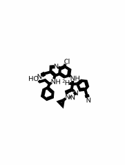 [2H]C(Nc1cc(Cl)c2ncc(C#N)c(NC(CCO)c3ccccc3)c2c1)(c1cccc(C#N)c1)c1cn(C2CC2)nn1